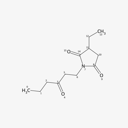 CCCC(=O)CCN1C(=O)CC(CC)C1=O